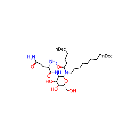 CCCCCCCCCCCCCCCCCCN(C(=O)CCCCCCCCCCCCC)[C@@H]1O[C@H](CO)[C@@H](O)[C@H](O)[C@H]1NC(=O)[C@@H](N)CCC(N)=O